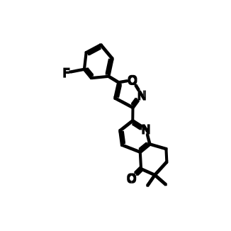 CC1(C)CCc2nc(-c3cc(-c4cccc(F)c4)on3)ccc2C1=O